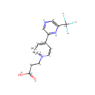 C=[N+](/C=C\C(=C/C)c1cncc(C(F)(F)F)n1)CCC(=O)O